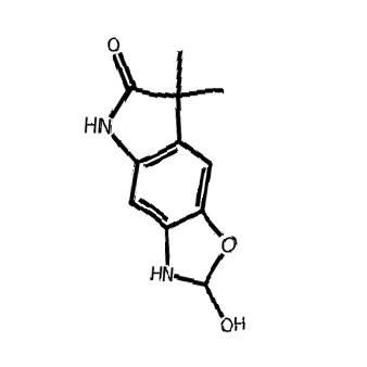 CC1(C)C(=O)Nc2cc3c(cc21)OC(O)N3